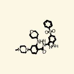 CN1CCN(C2C=CC(C(=O)Nc3n[nH]c4ccc(S(=O)(=O)c5ccccc5)cc34)=C(NC3CCOCC3)C2)CC1